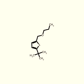 CCCOCc1ccc(C(C)(C)C)s1